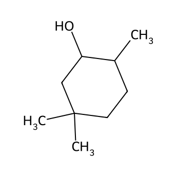 CC1CCC(C)(C)CC1O